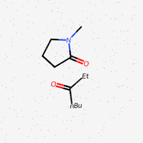 CCCCC(=O)CC.CN1CCCC1=O